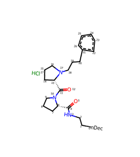 CCCCCCCCCCCCNC(=O)[C@@H]1CCCN1C(=O)[C@@H]1CCCN1CCCc1ccccc1.Cl